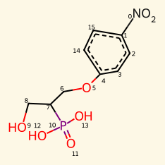 O=[N+]([O-])c1ccc(OCC(CO)P(=O)(O)O)cc1